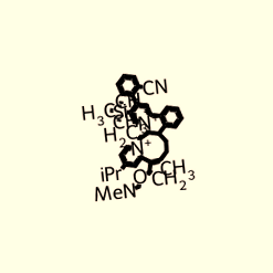 C=C(OCNC)C1=C(C)CCC2c3ccccc3-c3cc(-c4ccccc4C#N)c([Si](C)(C)C)c[n+]3C2C(=C)[n+]2ccc(C(C)C)cc21